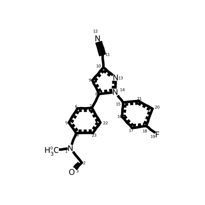 CN(C=O)c1ccc(-c2cc(C#N)nn2-c2ccc(F)cc2)cc1